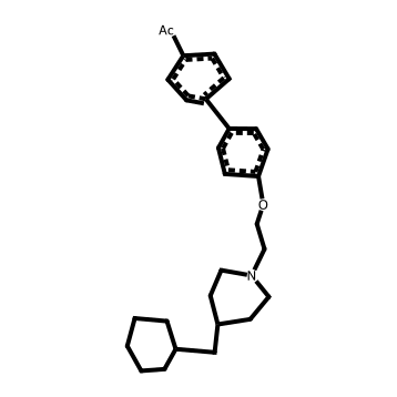 CC(=O)c1ccc(-c2ccc(OCCN3CCC(CC4CCCCC4)CC3)cc2)cc1